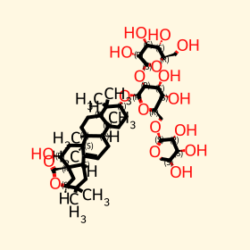 CC1(C)C[C@H]2C3=CC[C@@H]4[C@@]5(C)CC[C@H](O[C@@H]6O[C@H](CO[C@@H]7OC[C@H](O)[C@H](O)[C@H]7O)[C@@H](O)[C@H](O)[C@H]6O[C@@H]6O[C@H](CO)[C@@H](O)[C@H](O)[C@H]6O)C(C)(C)[C@@H]5CC[C@@]4(C)[C@]3(C)C[C@@H](O)[C@@]23C[C@@H]1OC3=O